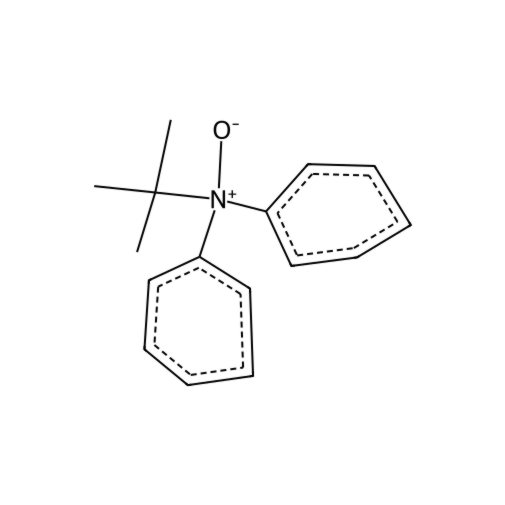 CC(C)(C)[N+]([O-])(c1ccccc1)c1ccccc1